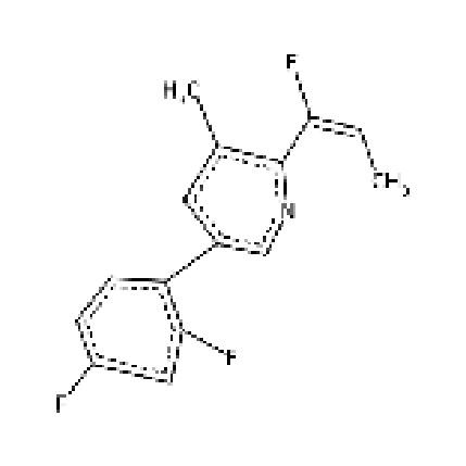 C/C=C(/F)c1ncc(-c2ccc(F)cc2F)cc1C